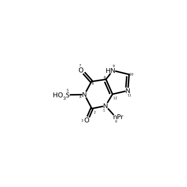 CCCn1c(=O)n(S(=O)(=O)O)c(=O)c2[nH]cnc21